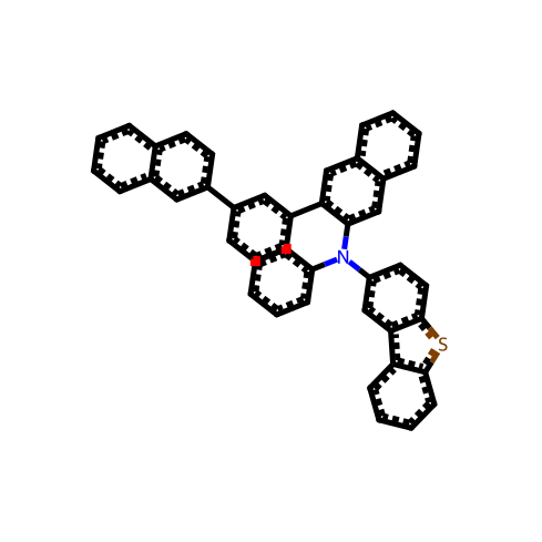 c1ccc(N(c2ccc3sc4ccccc4c3c2)c2cc3ccccc3cc2-c2cccc(-c3ccc4ccccc4c3)c2)cc1